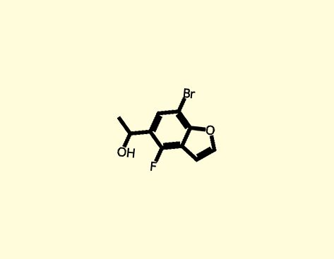 CC(O)c1cc(Br)c2occc2c1F